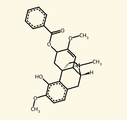 COC1=C[C@H]2[C@H]3Cc4ccc(OC)c(O)c4[C@@]2(CCN3C)CC1OC(=O)c1ccccc1